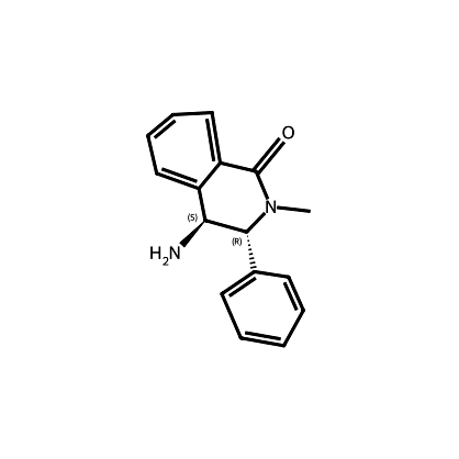 CN1C(=O)c2ccccc2[C@H](N)[C@H]1c1ccccc1